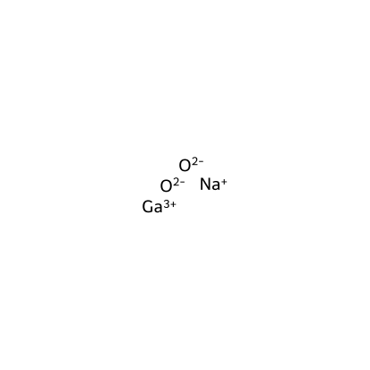 [Ga+3].[Na+].[O-2].[O-2]